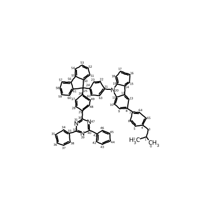 CC(C)Cc1ccc(-c2ccc3c(c2)c2ccccc2n3-c2ccc(C3(c4ccc(-c5nc(-c6ccccc6)nc(-c6ccccc6)n5)cc4)c4ccccc4-c4ccccc43)cc2)cc1